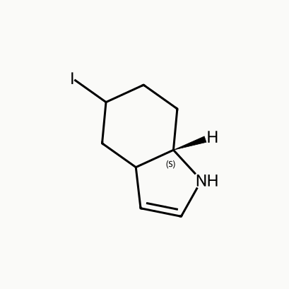 IC1CC[C@@H]2NC=CC2C1